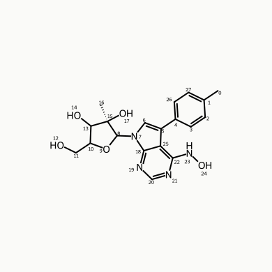 Cc1ccc(-c2cn(C3OC(CO)C(O)[C@@]3(C)O)c3ncnc(NO)c23)cc1